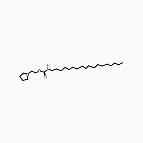 CCCCCCCCCCCCCCCCCCNC(=O)OCCN1CCCC1